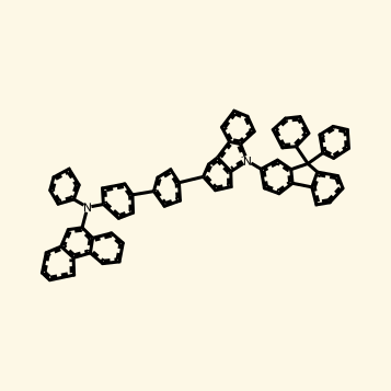 c1ccc(N(c2ccc(-c3ccc(-c4ccc5c(c4)c4ccccc4n5-c4ccc5c(c4)C(c4ccccc4)(c4ccccc4)c4ccccc4-5)cc3)cc2)c2cc3ccccc3c3ccccc23)cc1